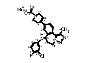 Cc1nnn2c1-c1ccc(C3=CCN(C(=O)OC(C)(C)C)CC3)cc1C(Nc1ccc(F)c(Cl)c1)CC2